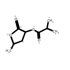 CC1CC(OC(=O)C(C)C)C(=O)O1